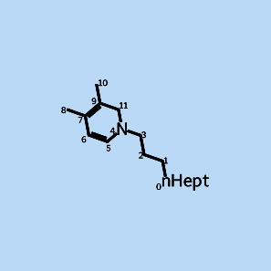 CCCCCCCCCCN1C=CC(C)=C(C)C1